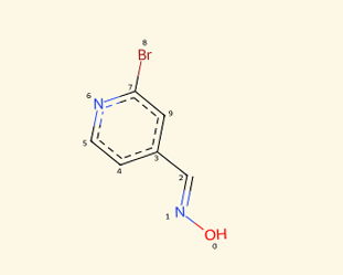 O/N=C/c1ccnc(Br)c1